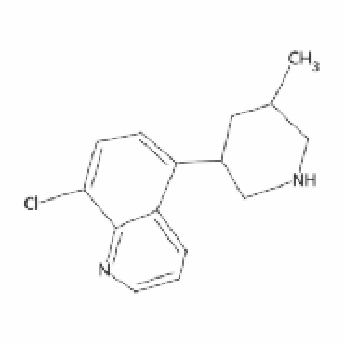 CC1CNCC(c2ccc(Cl)c3ncccc23)C1